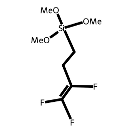 CO[Si](CCC(F)=C(F)F)(OC)OC